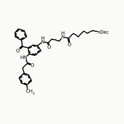 CCCCCCCCCCCCCCCC(=O)NCCC(=O)Nc1ccc(NC(=O)Cc2ccc(C)cc2)c(C(=O)c2ccccc2)c1